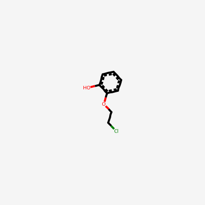 Oc1ccccc1OCCCl